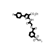 CCOC(=O)c1cc(-c2ccc(F)cc2)sc1NC(=O)COC(=O)c1cccc(S(N)(=O)=O)c1